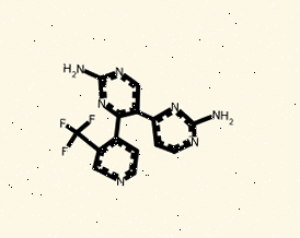 Nc1nccc(-c2cnc(N)nc2-c2ccncc2C(F)(F)F)n1